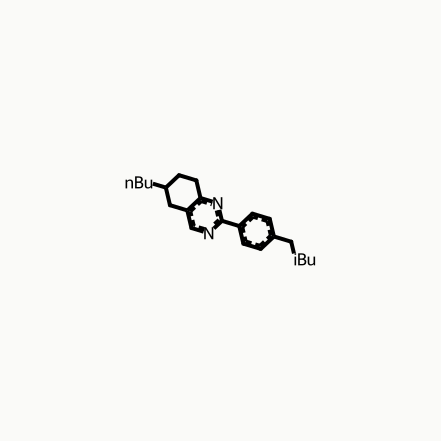 CCCCC1CCc2nc(-c3ccc(CC(C)CC)cc3)ncc2C1